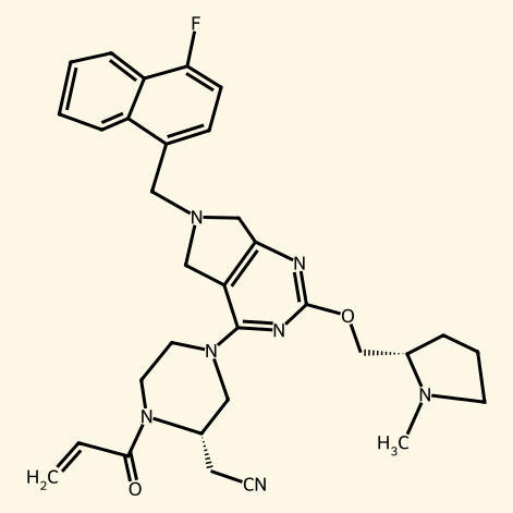 C=CC(=O)N1CCN(c2nc(OC[C@@H]3CCCN3C)nc3c2CN(Cc2ccc(F)c4ccccc24)C3)C[C@@H]1CC#N